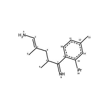 C/C(=C\N)CC(C)C(=N)c1ccc(C)cc1C(C)C